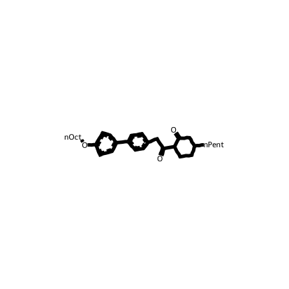 CCCCCCCCOc1ccc(-c2ccc(CC(=O)C3CCC(CCCCC)CC3=O)cc2)cc1